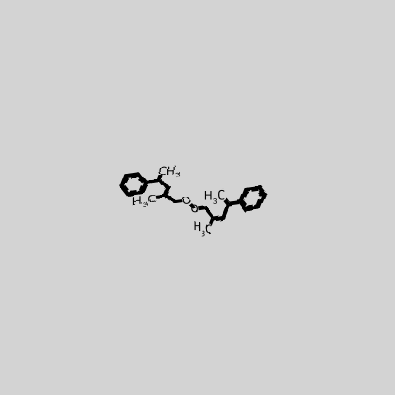 CC(COOCC(C)CC(C)c1ccccc1)CC(C)c1ccccc1